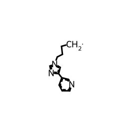 [CH2]CCCn1cnc(-c2cccnc2)c1